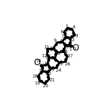 O=c1c2ccccc2c2cc3ccc4c5c(=O)c6ccccc6c5cc5ccc(c12)c3c54